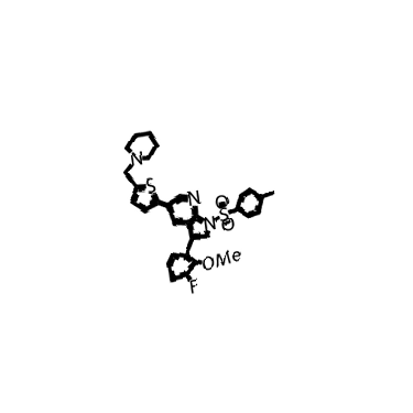 COc1c(F)cccc1-c1cn(S(=O)(=O)c2ccc(C)cc2)c2ncc(-c3ccc(CN4CCCCC4)s3)cc12